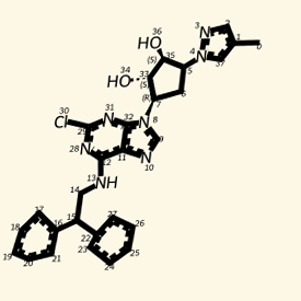 Cc1cnn(C2C[C@@H](n3cnc4c(NCC(c5ccccc5)c5ccccc5)nc(Cl)nc43)[C@H](O)[C@H]2O)c1